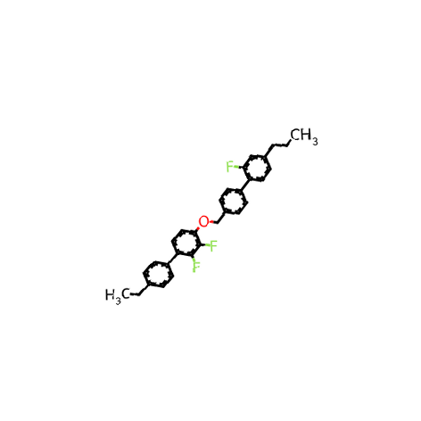 CCCc1ccc(-c2ccc(COc3ccc(-c4ccc(CC)cc4)c(F)c3F)cc2)c(F)c1